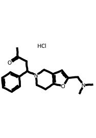 CC(=O)CC(c1ccccc1)N1CCc2oc(CN(C)C)cc2C1.Cl